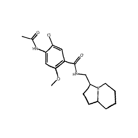 COc1cc(NC(C)=O)c(Cl)cc1C(=O)NCC1CCC2CCCCN21